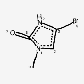 Cn1[c]c(Br)[nH]c1=O